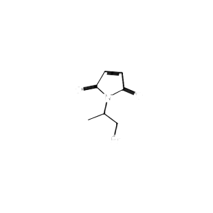 CC(CBr)N1C(=O)C=CC1=O